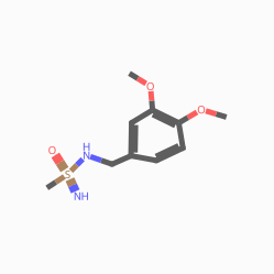 COc1ccc(CNS(C)(=N)=O)cc1OC